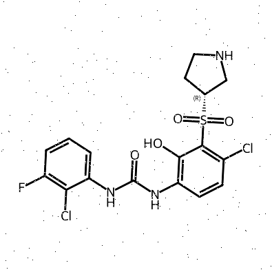 O=C(Nc1ccc(Cl)c(S(=O)(=O)[C@@H]2CCNC2)c1O)Nc1cccc(F)c1Cl